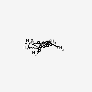 CCCCCCCCC1(CCCCCCCC)c2cc(C)ccc2-c2ccc(N(c3cccc(CCCCCC)c3)c3ccc4c(c3)C3(c5ccccc5-c5ccccc53)c3cc(N(C)c5cccc(CCCCCC)c5)ccc3-4)cc21